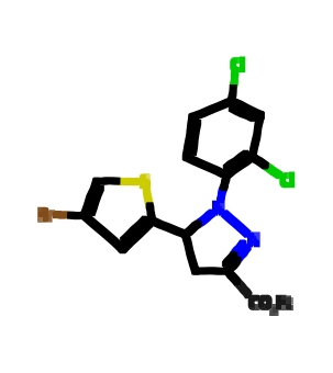 CCOC(=O)C1=NN(c2ccc(Cl)cc2Cl)C(c2cc(Br)cs2)C1